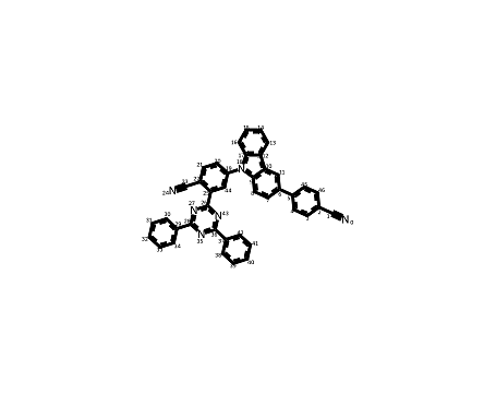 N#Cc1ccc(-c2ccc3c(c2)c2ccccc2n3-c2ccc(C#N)c(-c3nc(-c4ccccc4)nc(-c4ccccc4)n3)c2)cc1